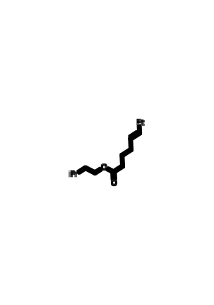 CCC=CCCCC(=O)OCCC(C)C